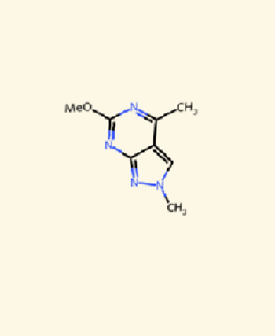 COc1nc(C)c2cn(C)nc2n1